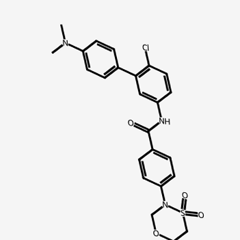 CN(C)c1ccc(-c2cc(NC(=O)c3ccc(N4COCCS4(=O)=O)cc3)ccc2Cl)cc1